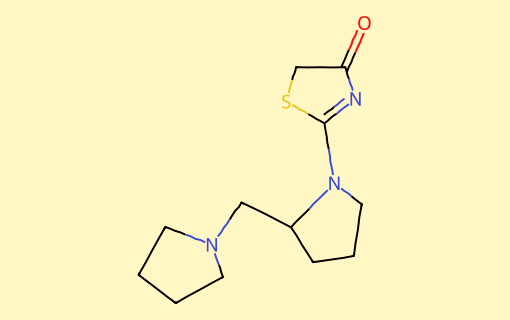 O=C1CSC(N2CCCC2CN2CCCC2)=N1